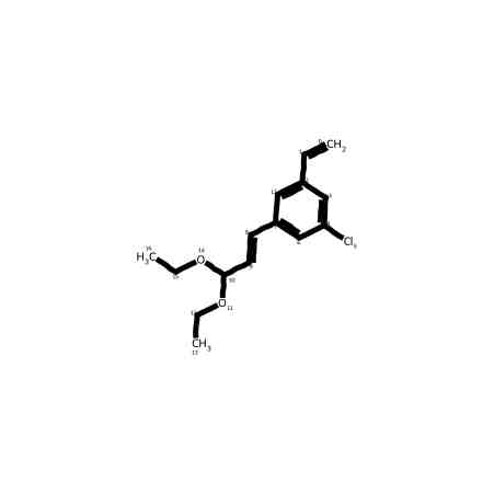 C=Cc1cc(Cl)cc(/C=C/C(OCC)OCC)c1